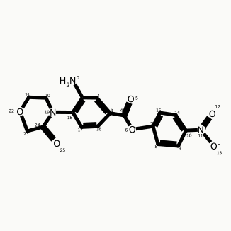 Nc1cc(C(=O)Oc2ccc([N+](=O)[O-])cc2)ccc1N1CCOCC1=O